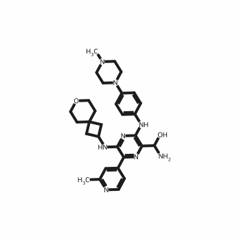 Cc1cc(-c2nc(C(N)O)c(Nc3ccc(N4CCN(C)CC4)cc3)nc2NC2CC3(CCOCC3)C2)ccn1